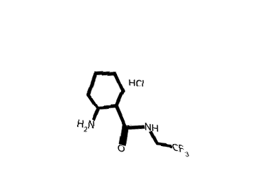 Cl.NC1CCCCC1C(=O)NCC(F)(F)F